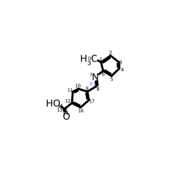 Cc1ccccc1/N=C/c1ccc(C(=O)O)cc1